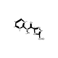 CC(C)N(C(=O)c1nnc(C=O)o1)c1ncccn1